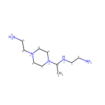 CC(NCCN)N1CCN(CCN)CC1